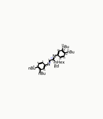 CCCCCCC(/C=N/c1ccc(CCCC)c(CCCC)c1)=N\c1ccc(CCCC)c(CCCC)c1.[Pd]